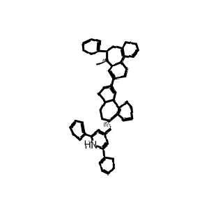 C[C@H]1C(C2=CC=CCC2)CC2=C(C=CCC2)C2CCC(C3=CC4C5=C(C=CCC5)[C@H](CC5=CC(C6=CC=CCC6)NC(C6=CC=CCC6)=C5)CCC4CC3)=CC21